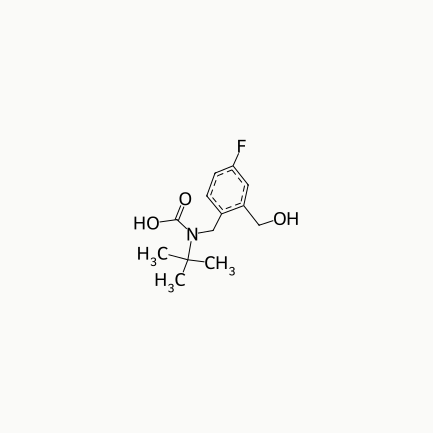 CC(C)(C)N(Cc1ccc(F)cc1CO)C(=O)O